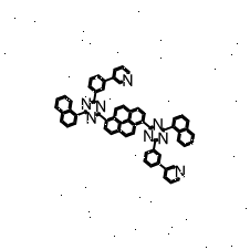 c1cncc(-c2cccc(-c3nc(-c4cccc5ccccc45)nc(-c4ccc5ccc6c(-c7nc(-c8cccc(-c9cccnc9)c8)nc(-c8cccc9ccccc89)n7)ccc7ccc4c5c76)n3)c2)c1